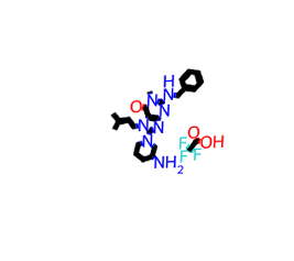 CC(C)=CCn1c(N2CCCC(N)C2)nc2nc(NCc3ccccc3)n(C)c(=O)c21.O=C(O)C(F)(F)F